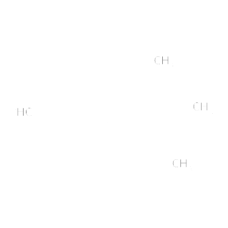 [CH]=CCc1cc(C)c(C)c(C)c1